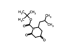 CC(C)CC1CC(=O)CC(=O)N1C(=O)OC(C)(C)C